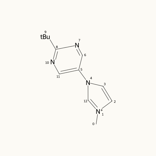 C[n+]1ccn(-c2cnc(C(C)(C)C)nc2)c1